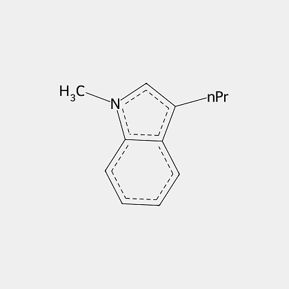 [CH2-][CH+]Cc1cn(C)c2ccccc12